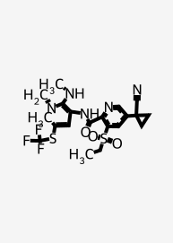 C=N/C(NC)=C(\C=C(/C)SC(F)(F)F)NC(=O)c1ncc(C2(C#N)CC2)cc1S(=O)(=O)CC